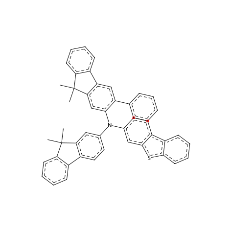 CC1(C)c2ccccc2-c2ccc(N(c3ccc4c(c3)sc3ccccc34)c3cc4c(cc3-c3ccccc3)-c3ccccc3C4(C)C)cc21